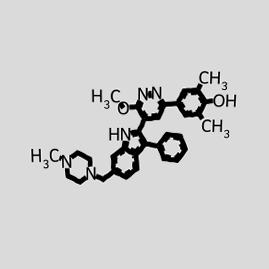 COc1nnc(-c2cc(C)c(O)c(C)c2)cc1-c1[nH]c2cc(CN3CCN(C)CC3)ccc2c1-c1ccccc1